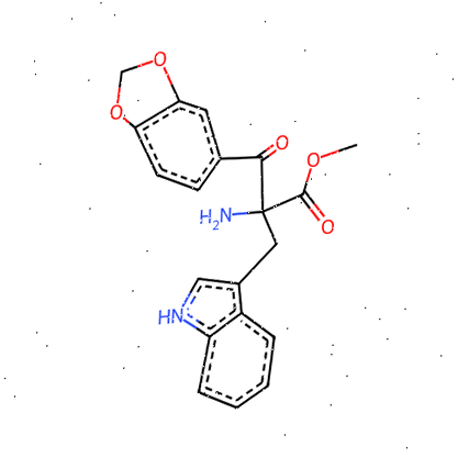 COC(=O)C(N)(Cc1c[nH]c2ccccc12)C(=O)c1ccc2c(c1)OCO2